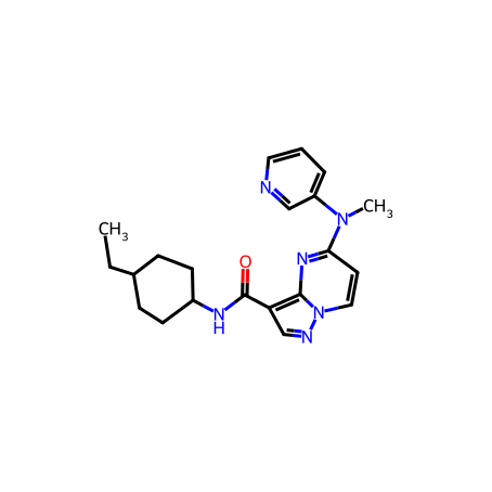 CCC1CCC(NC(=O)c2cnn3ccc(N(C)c4cccnc4)nc23)CC1